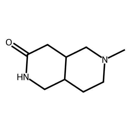 CN1CCC2CNC(=O)CC2C1